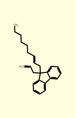 C=CCC1(CC=CCCCCCC)c2ccccc2-c2ccccc21